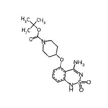 CC(C)(C)OC(=O)N1CCC(Oc2cccc3c2C(N)=NS(=O)(=O)N3)CC1